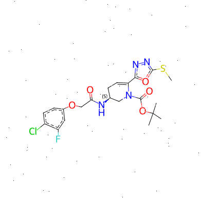 CSc1nnc(C2=CC[C@H](NC(=O)COc3ccc(Cl)c(F)c3)CN2C(=O)OC(C)(C)C)o1